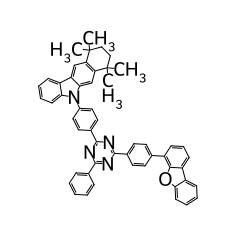 CC1(C)CCC(C)(C)c2cc3c(cc21)c1ccccc1n3-c1ccc(-c2nc(-c3ccccc3)nc(-c3ccc(-c4cccc5c4oc4ccccc45)cc3)n2)cc1